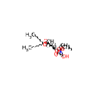 CCCCCCCCC(CCCCCCCC)OC(=O)C(C)(C)CCCCCCOC(=O)[C@@H]1C[C@H](O)CN1C(=O)OC(C)(C)C